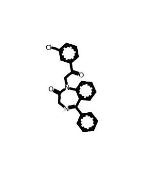 O=C(CN1C(=O)CN=C(c2ccccc2)c2ccccc21)c1cccc(Cl)c1